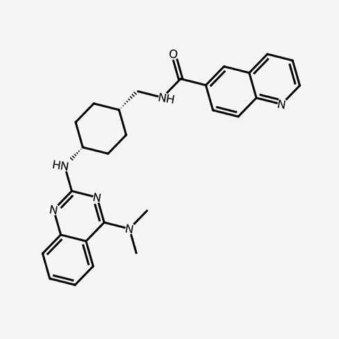 CN(C)c1nc(N[C@H]2CC[C@@H](CNC(=O)c3ccc4ncccc4c3)CC2)nc2ccccc12